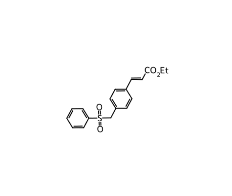 CCOC(=O)C=Cc1ccc(CS(=O)(=O)c2ccccc2)cc1